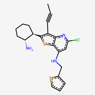 CC#Cc1c([C@@H]2CCCC[C@H]2N)sc2c(NCc3cccs3)cc(Cl)nc12